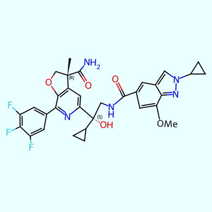 COc1cc(C(=O)NC[C@](O)(c2cc3c(c(-c4cc(F)c(F)c(F)c4)n2)OC[C@]3(C)C(N)=O)C2CC2)cc2cn(C3CC3)nc12